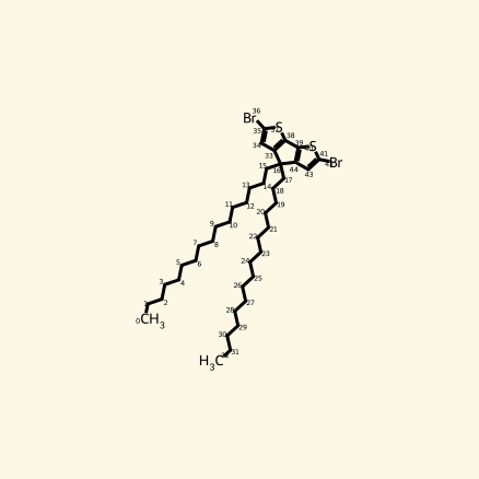 CCCCCCCCCCCCCCCCC1(CCCCCCCCCCCCCCCC)c2cc(Br)sc2-c2sc(Br)cc21